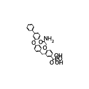 NC(=O)COc1ccc(C(=O)P(=O)(O)O)cc1Cc1ccc(Oc2cccc(-c3ccccc3)c2)cc1